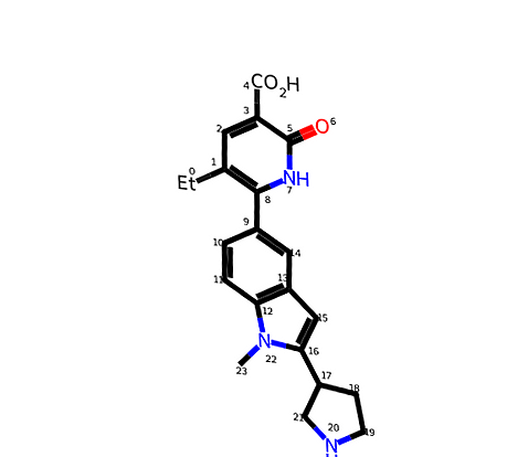 CCc1cc(C(=O)O)c(=O)[nH]c1-c1ccc2c(c1)cc(C1CCNC1)n2C